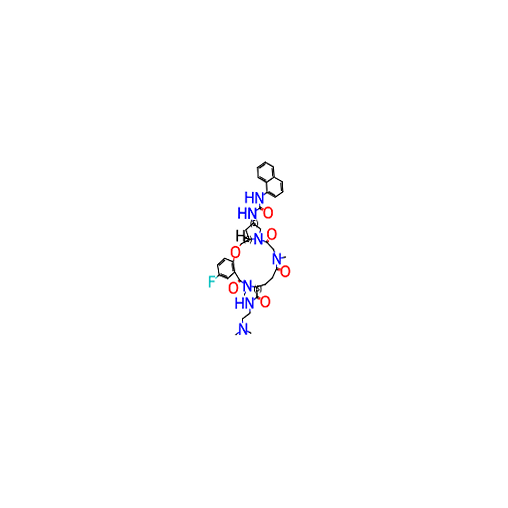 CN(C)CCNC(=O)[C@@H]1CCC(=O)N(C)CC(=O)N2C[C@@H](NC(=O)Nc3cccc4ccccc34)C[C@H]2COc2ccc(F)cc2C(=O)N1C